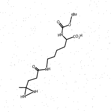 CC1(CCC(=O)NCCCCC(NC(=O)OC(C)(C)C)C(=O)O)NN1